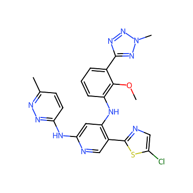 COc1c(Nc2cc(Nc3ccc(C)nn3)ncc2-c2ncc(Cl)s2)cccc1-c1nnn(C)n1